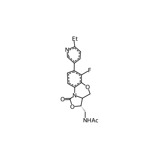 CCc1ccc(-c2ccc3c(c2F)OCC2[C@H](CNC(C)=O)OC(=O)N32)cn1